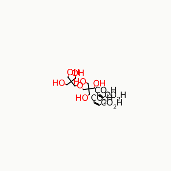 O=C(O)/C=C\C(=O)O.O=C(O)/C=C\C(=O)O.OCC(CO)(CO)COCC(CO)(CO)CO